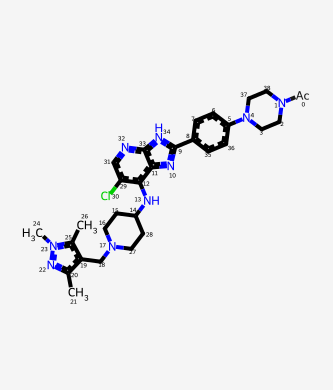 CC(=O)N1CCN(c2ccc(-c3nc4c(NC5CCN(Cc6c(C)nn(C)c6C)CC5)c(Cl)cnc4[nH]3)cc2)CC1